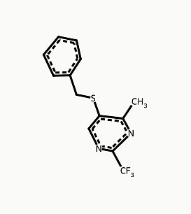 Cc1nc(C(F)(F)F)ncc1SCc1ccccc1